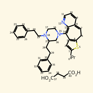 CC(C)c1cc2c(s1)CC=c1cccnc1=C2N1CCN(CCc2ccccc2)C(CCc2ccccc2)C1.O=C(O)CCC(=O)O